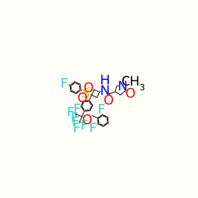 CN1CC(C(=O)NC2CC(c3ccc(C(OCc4c(F)cccc4F)(C(F)(F)F)C(F)(F)F)cc3)(S(=O)(=O)c3ccc(F)cc3)C2)CC1=O